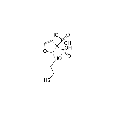 O=P(O)(O)C1(P(=O)(O)O)C=COC1CCCS